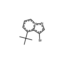 CC(C)(C)c1cccn2ncc(Br)c12